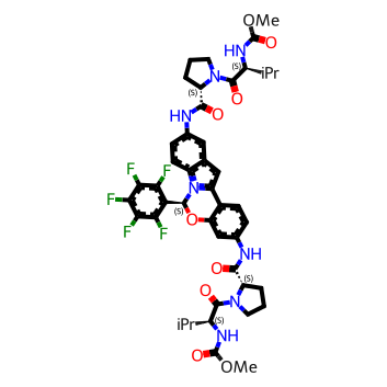 COC(=O)N[C@H](C(=O)N1CCC[C@H]1C(=O)Nc1ccc2c(c1)O[C@@H](c1c(F)c(F)c(F)c(F)c1F)n1c-2cc2cc(NC(=O)[C@@H]3CCCN3C(=O)[C@@H](NC(=O)OC)C(C)C)ccc21)C(C)C